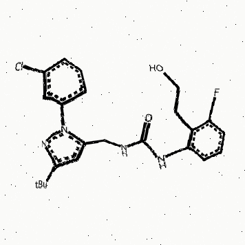 CC(C)(C)c1cc(CNC(=O)Nc2cccc(F)c2CCO)n(-c2cccc(Cl)c2)n1